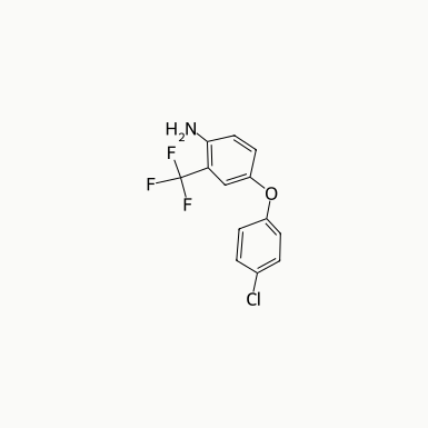 Nc1ccc(Oc2ccc(Cl)cc2)cc1C(F)(F)F